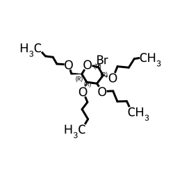 CCCCOC[C@H]1O[C@H](Br)[C@H](OCCCC)C(OCCCC)[C@@H]1OCCCC